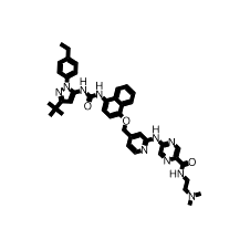 CCc1ccc(-n2nc(C(C)(C)C)cc2NC(=O)Nc2ccc(OCc3ccnc(Nc4cnc(C(=O)NCCN(C)C)cn4)c3)c3ccccc23)cc1